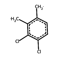 [CH2]c1ccc(Cl)c(Cl)c1[CH2]